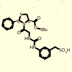 CC(C)(C)OC(=O)[C@@H]1CS[C@H](c2ccccc2)N1C(=O)CNC(=O)Nc1cccc(CS(=O)(=O)O)c1